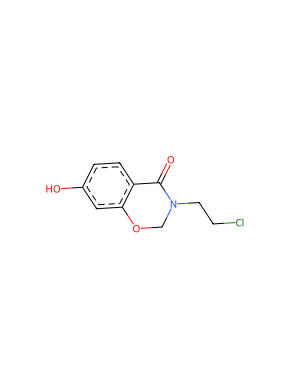 O=C1c2ccc(O)cc2OCN1CCCl